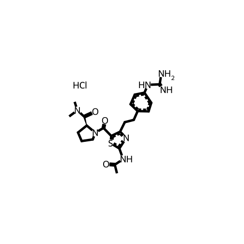 CC(=O)Nc1nc(CCc2ccc(NC(=N)N)cc2)c(C(=O)N2CCC[C@H]2C(=O)N(C)C)s1.Cl